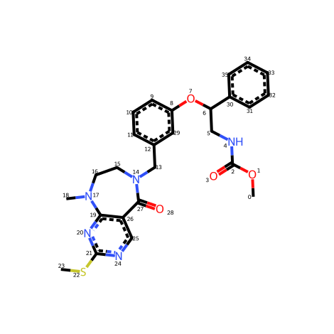 COC(=O)NCC(Oc1cccc(CN2CCN(C)c3nc(SC)ncc3C2=O)c1)c1ccccc1